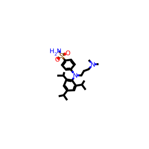 CC(C)c1cc(C(C)C)c(N(CCCN(C)C)c2ccc(S(N)(=O)=O)cc2)c(C(C)C)c1